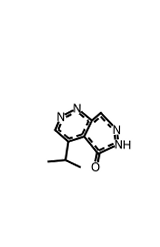 CC(C)c1cnnc2cn[nH]c(=O)c12